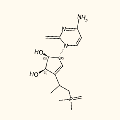 C=C1N=C(N)C=CN1[C@@H]1C=C(C(C)CP(=C)(C)C)[C@@H](O)[C@H]1O